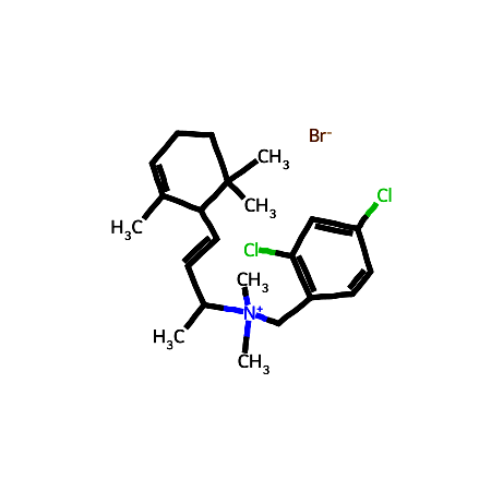 CC1=CCCC(C)(C)C1/C=C/C(C)[N+](C)(C)Cc1ccc(Cl)cc1Cl.[Br-]